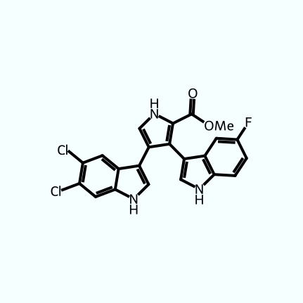 COC(=O)c1[nH]cc(-c2c[nH]c3cc(Cl)c(Cl)cc23)c1-c1c[nH]c2ccc(F)cc12